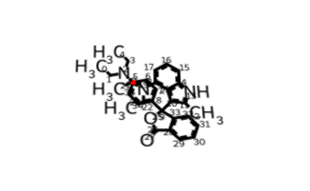 CCN(CC)c1ccc(C2(c3c(C)[nH]c4cccc(N(CC)CC)c34)OC(=O)c3ccccc32)cc1